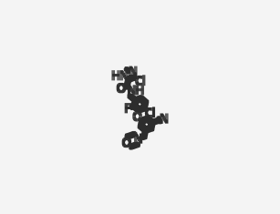 N#Cc1cc(CN2CCOCC2)cc(Oc2c(Cl)ccc(CNC(=O)c3[nH]cnc3Cl)c2F)c1